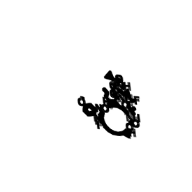 CCC[C@@H]1[C@@H]2CC(C(=O)[C@H](C(C)(C)C)NC(=O)O[C@@H]3CC3CCCCC(F)(F)c3nc4ccc(OC)cc4nc3O2)[C@@H]1C(=O)N[C@]1(C(=O)NS(=O)(=O)C2CC2)C[C@H]1C(F)F